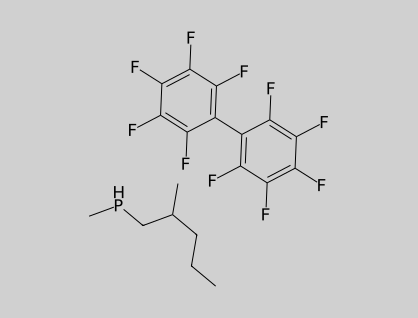 CCCC(C)CPC.Fc1c(F)c(F)c(-c2c(F)c(F)c(F)c(F)c2F)c(F)c1F